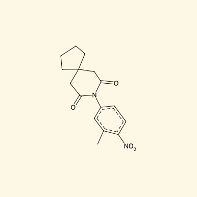 Cc1cc(N2C(=O)CC3(CCCC3)CC2=O)ccc1[N+](=O)[O-]